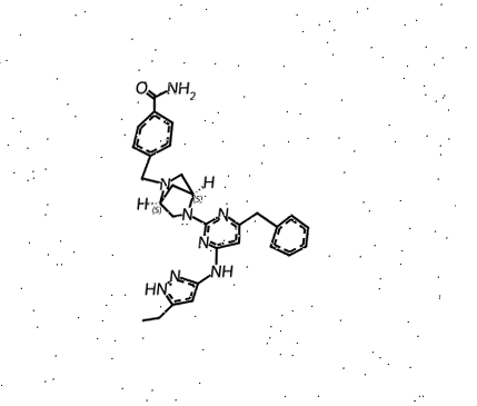 CCc1cc(Nc2cc(Cc3ccccc3)nc(N3C[C@@H]4C[C@H]3CN4Cc3ccc(C(N)=O)cc3)n2)n[nH]1